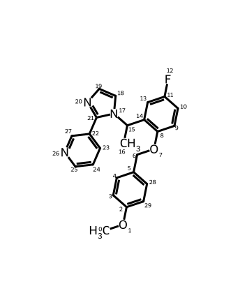 COc1ccc(COc2ccc(F)cc2C(C)n2ccnc2-c2cccnc2)cc1